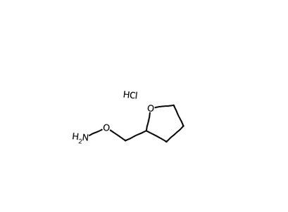 Cl.NOCC1CCCO1